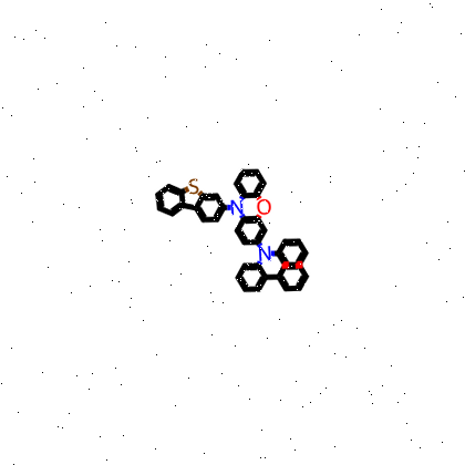 c1ccc(-c2ccccc2N(c2ccccc2)c2ccc3c(c2)Oc2ccccc2N3c2ccc3c(c2)sc2ccccc23)cc1